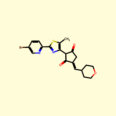 Cc1sc(-c2ccc(Br)cn2)nc1C1C(=O)C/C(=C\C2CCOCC2)C1=O